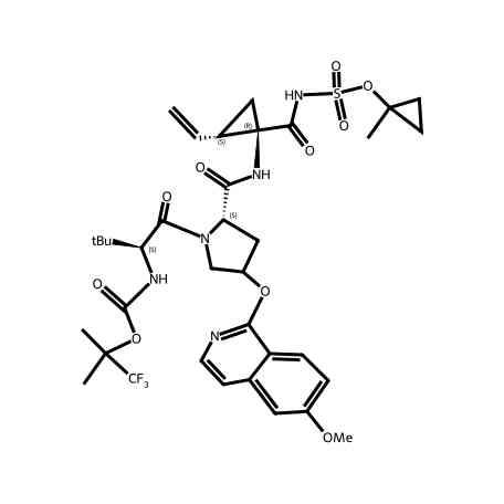 C=C[C@@H]1C[C@]1(NC(=O)[C@@H]1CC(Oc2nccc3cc(OC)ccc23)CN1C(=O)[C@@H](NC(=O)OC(C)(C)C(F)(F)F)C(C)(C)C)C(=O)NS(=O)(=O)OC1(C)CC1